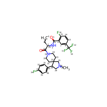 CC[C@@H](NC(=O)c1cc(C(F)(F)F)ccc1F)C(=O)N1CCC2(CC1)CN(C)CC2c1ccc(F)cc1